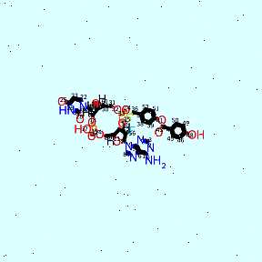 Nc1ncnc2c1ncn2[C@@H]1O[C@@H]2COP(=O)(O)O[C@H]3C(n4ccc(=O)[nH]c4=O)O[C@H](CO[P@](=O)(SCc4ccc(OC(=O)c5ccc(O)cc5)cc4)O[C@H]2[C@H]1F)[C@H]3F